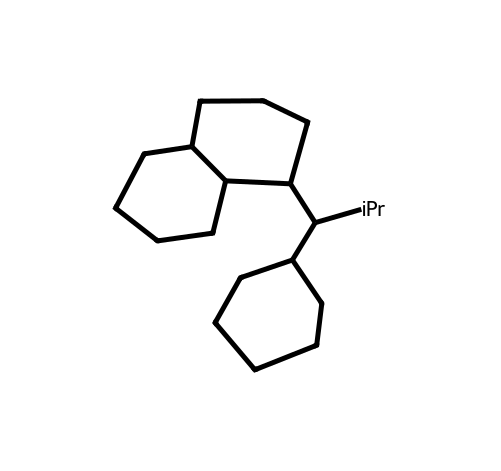 CC(C)C(C1CCCCC1)C1CCCC2CCCCC21